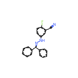 N#Cc1cc(NN=C(c2ccccc2)c2ccccc2)ccc1F